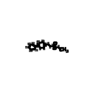 CCOC(=O)CCN1CCN(c2ccccc2)CC1